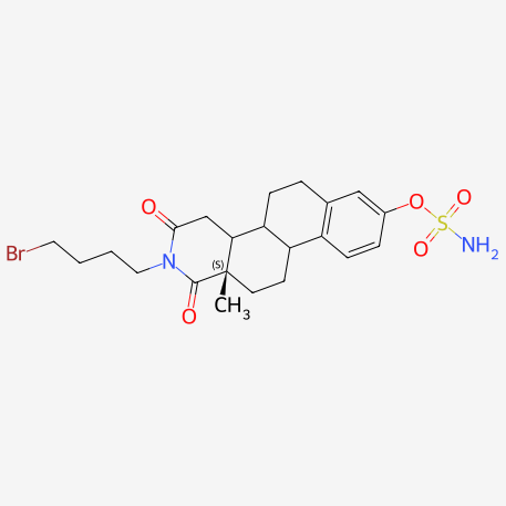 C[C@]12CCC3c4ccc(OS(N)(=O)=O)cc4CCC3C1CC(=O)N(CCCCBr)C2=O